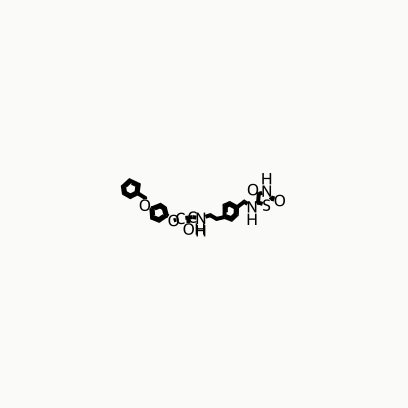 O=C1NC(=O)C(NCc2ccc(CCNCC(O)COc3ccc(OCc4ccccc4)cc3)cc2)S1